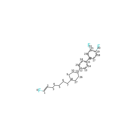 FC=CCCCCCC1CCC(c2ccc(-c3ccc(F)c(F)c3)cc2)CC1